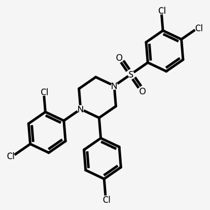 O=S(=O)(c1ccc(Cl)c(Cl)c1)N1CCN(c2ccc(Cl)cc2Cl)C(c2ccc(Cl)cc2)C1